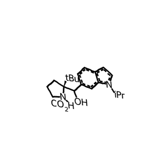 CC(C)n1ccc2ccc(C(O)[C@@]3(C(C)(C)C)CCCN3C(=O)O)cc21